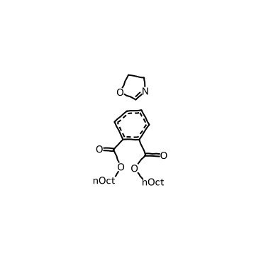 C1=NCCO1.CCCCCCCCOC(=O)c1ccccc1C(=O)OCCCCCCCC